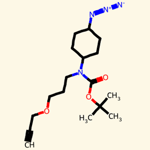 C#CCOCCCN(C(=O)OC(C)(C)C)C1CCC(N=[N+]=[N-])CC1